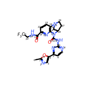 Cc1ncc(-c2ccnc(NC(=O)N3c4nc(C(=O)NCC(F)(F)F)ccc4N4CCC3C4)n2)o1